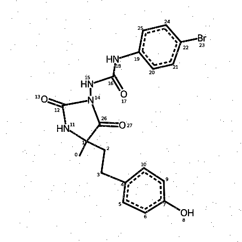 CC1(CCc2ccc(O)cc2)NC(=O)N(NC(=O)Nc2ccc(Br)cc2)C1=O